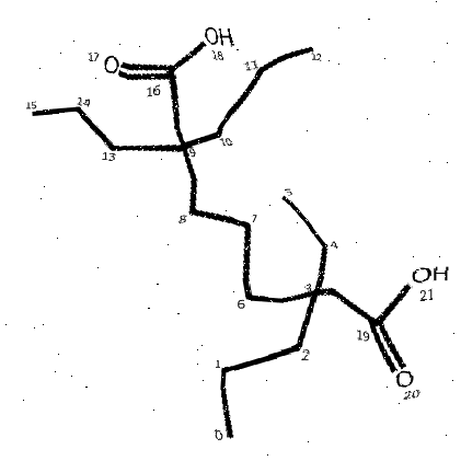 CCCC(CC)(CCCC(CCC)(CCC)C(=O)O)C(=O)O